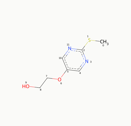 CSc1ncc(OCCO)cn1